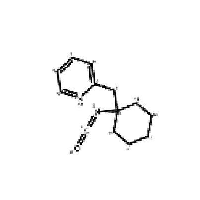 O=C=NC1(Cc2ccccn2)CCCCC1